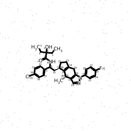 CCC(O)(CC)C(=O)NC(C[C@H]1CCC2=C1[C@@H](C)c1cnn(-c3ccc(F)cc3)c1C2)c1ccc(Cl)cc1